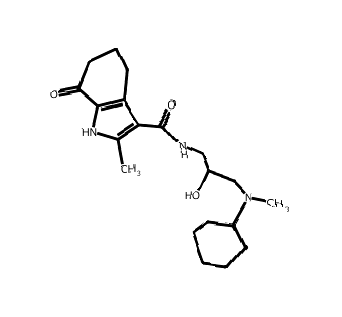 Cc1[nH]c2c(c1C(=O)NCC(O)CN(C)C1CCCCC1)CCCC2=O